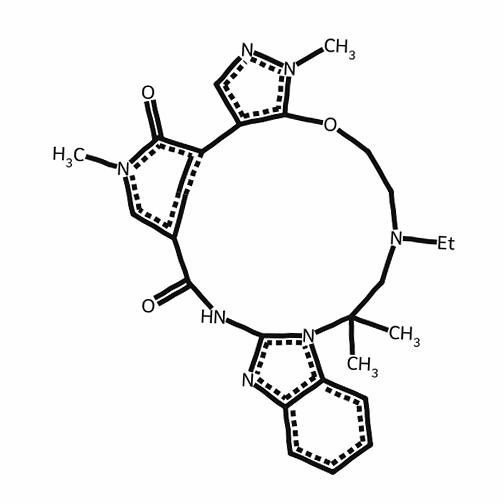 CCN1CCOc2c(cnn2C)-c2cc(cn(C)c2=O)C(=O)Nc2nc3ccccc3n2C(C)(C)C1